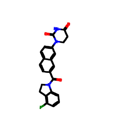 O=C1CCN(c2ccc3ccc(C(=O)N4CCc5c(F)cccc54)cc3c2)C(=O)N1